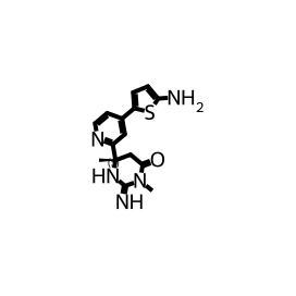 CN1C(=N)N[C@](C)(c2cc(-c3ccc(N)s3)ccn2)CC1=O